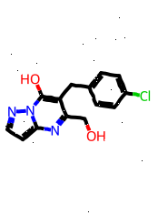 OCc1nc2ccnn2c(O)c1Cc1ccc(Cl)cc1